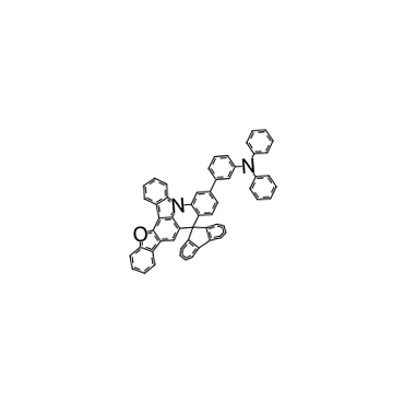 c1ccc(N(c2ccccc2)c2cccc(-c3ccc4c(c3)-n3c5ccccc5c5c6oc7ccccc7c6cc(c53)C43c4ccccc4-c4ccccc43)c2)cc1